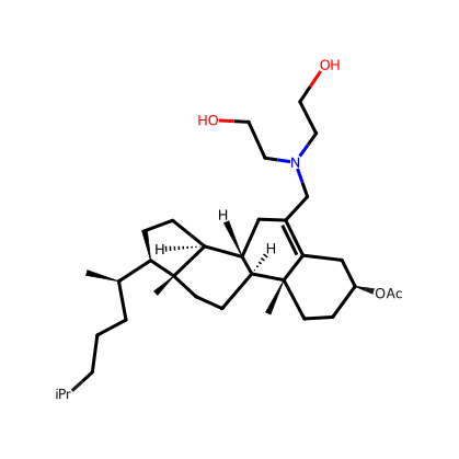 CC(=O)O[C@H]1CC[C@@]2(C)C(=C(CN(CCO)CCO)C[C@H]3[C@@H]4CC[C@H]([C@H](C)CCCC(C)C)[C@@]4(C)CC[C@@H]32)C1